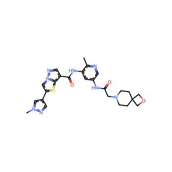 Cc1ncc(NC(=O)CN2CCC3(CC2)COC3)cc1NC(=O)c1cnn2cc(-c3cnn(C)c3)sc12